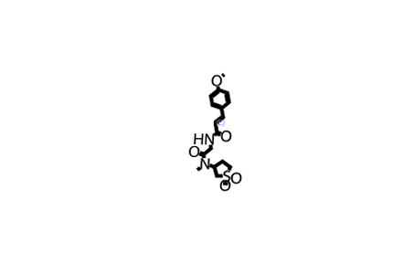 COc1ccc(/C=C/C(=O)NCC(=O)N(C)C2CCS(=O)(=O)C2)cc1